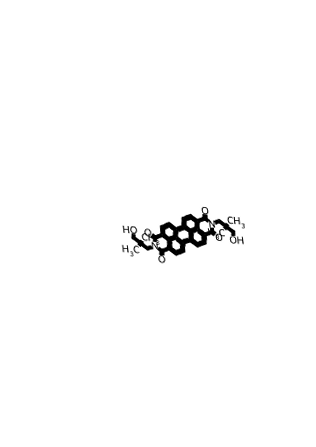 CC(C)(CO)CN1C(=O)c2ccc3c4ccc5c6c(ccc(c7ccc(c2c37)C1=O)c64)C(=O)N(CC(C)(C)CO)C5=O